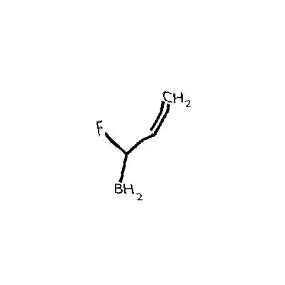 BC(F)C=C